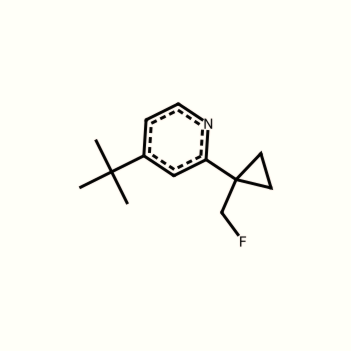 CC(C)(C)c1ccnc(C2(CF)CC2)c1